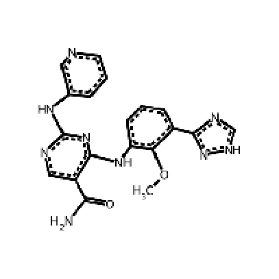 COc1c(Nc2nc(Nc3cccnc3)ncc2C(N)=O)cccc1-c1nc[nH]n1